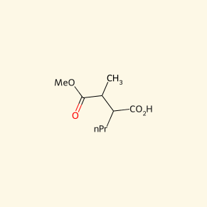 CCCC(C(=O)O)C(C)C(=O)OC